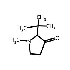 CN1CCC(=O)C1C(C)(C)C